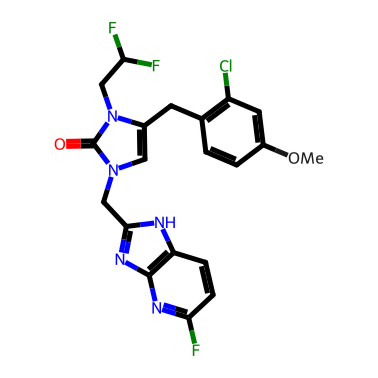 COc1ccc(Cc2cn(Cc3nc4nc(F)ccc4[nH]3)c(=O)n2CC(F)F)c(Cl)c1